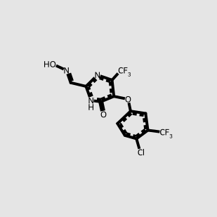 O=c1[nH]c(C=NO)nc(C(F)(F)F)c1Oc1ccc(Cl)c(C(F)(F)F)c1